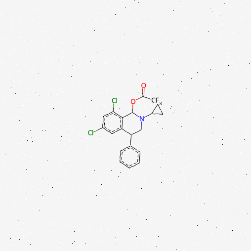 O=C(OC1c2c(Cl)cc(Cl)cc2C(c2ccccc2)CN1C1CC1)C(F)(F)F